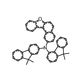 CC1(C)c2ccccc2-c2ccc(N(c3ccc4ccc5oc6ccccc6c5c4c3)c3cccc4c3-c3ccccc3C4(C)C)cc21